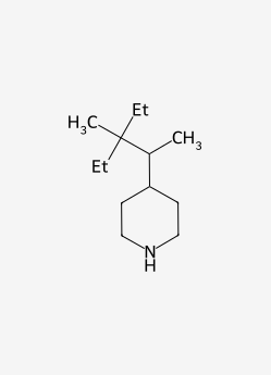 CCC(C)(CC)C(C)C1CCNCC1